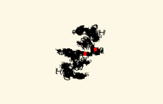 CC[C@H](NC)C(=O)N[C@@H](Cc1cn(CC#CC#CCn2cc(C[C@H](NC(=O)[C@H](CC)NC)C(=O)N3CC(C)(C)c4[nH]c(=O)c(Cc5ccc(F)cc5)cc43)c3cc(OC)ccc32)c2ccc(OC)cc12)C(=O)N1CC(C)(C)c2[nH]c(=O)c(Cc3ccc(F)cc3)cc21